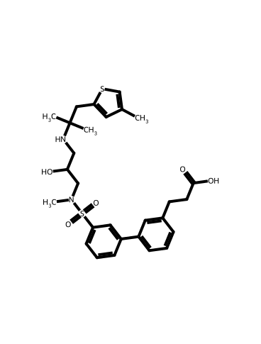 Cc1csc(CC(C)(C)NCC(O)CN(C)S(=O)(=O)c2cccc(-c3cccc(CCC(=O)O)c3)c2)c1